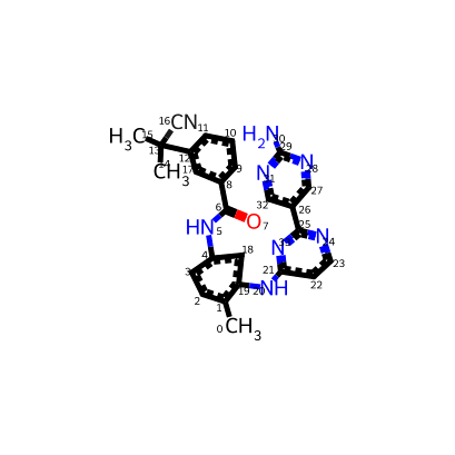 Cc1ccc(NC(=O)c2cccc(C(C)(C)C#N)c2)cc1Nc1ccnc(-c2cnc(N)nc2)n1